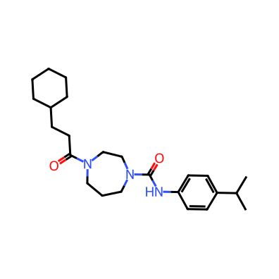 CC(C)c1ccc(NC(=O)N2CCCN(C(=O)CCC3CCCCC3)CC2)cc1